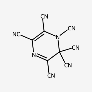 N#CC1=NC(C#N)=C(C#N)N(C#N)C1(C#N)C#N